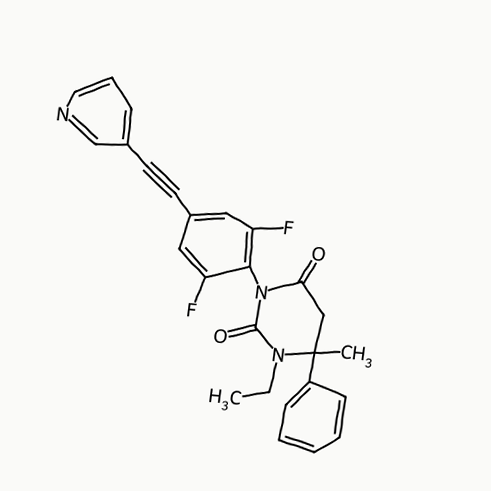 CCN1C(=O)N(c2c(F)cc(C#Cc3cccnc3)cc2F)C(=O)CC1(C)c1ccccc1